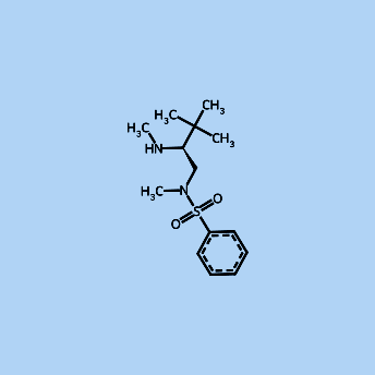 CN[C@H](CN(C)S(=O)(=O)c1ccccc1)C(C)(C)C